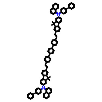 CC1(C)c2cc(/C=C/c3ccc(-c4ccc(-c5ccc(/C=C/c6ccc7c(c6)C(C)(C)c6cc(N(c8ccc(-c9ccccc9)cc8)c8cccc9ccccc89)ccc6-7)cc5)cc4)cc3)ccc2-c2ccc(N(c3ccc(-c4ccccc4)cc3)c3cccc4ccccc34)cc21